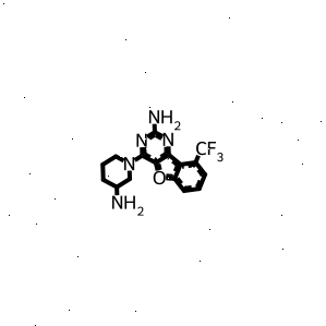 Nc1nc(N2CCCC(N)C2)c2oc3cccc(C(F)(F)F)c3c2n1